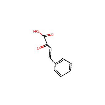 O=C(O)C(=O)C=Cc1ccccc1